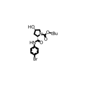 CC(C)(C)OC(=O)N1C[C@@H](O)C[C@H]1C(=O)Nc1ccc(Br)cc1